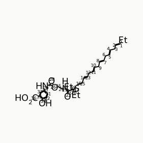 CCC=CCC=CCC=CCC=CCC=CCCSC(CC)(CC)C(=O)NCCOC(=O)Nc1ccc(O)c(C(=O)O)c1